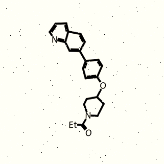 CCC(=O)N1CCC(Oc2ccc(-c3ccc4cccnc4c3)cc2)CC1